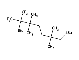 CC(C)(C)CC(C)(C)CCC(C)(C)C(C(C)(C)C)(C(F)(F)F)C(F)(F)F